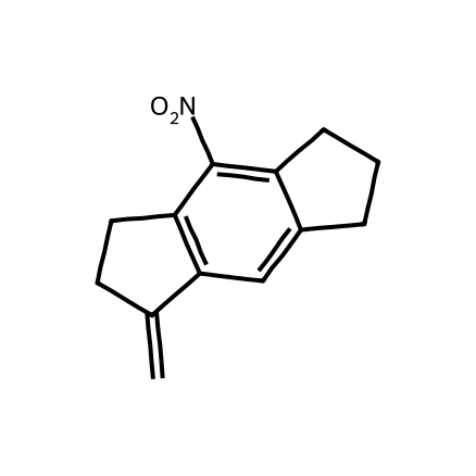 C=C1CCc2c1cc1c(c2[N+](=O)[O-])CCC1